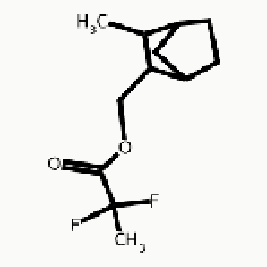 CC1C2CCC(C2)C1COC(=O)C(C)(F)F